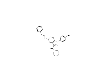 N#Cc1ccc(-n2nc(C(=O)N3CCCCC3)c3c2CCC(NCCc2ccccc2)C3)cc1